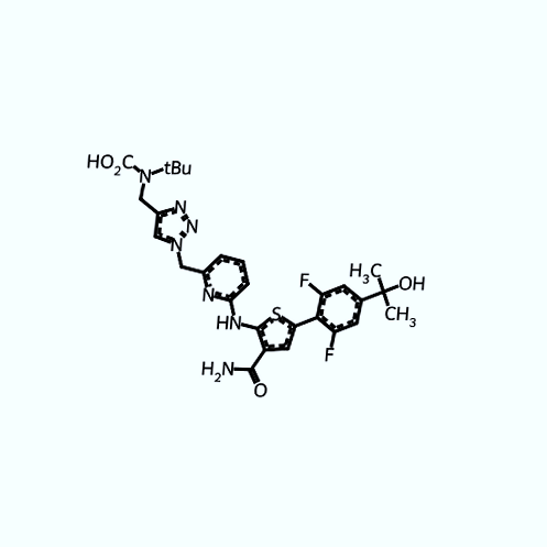 CC(C)(O)c1cc(F)c(-c2cc(C(N)=O)c(Nc3cccc(Cn4cc(CN(C(=O)O)C(C)(C)C)nn4)n3)s2)c(F)c1